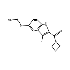 CCCCSNc1ccc2[nH]c(C(=O)N3CCC3)c(C)c2c1